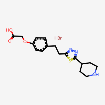 Br.O=C(O)COc1ccc(CCc2nnc(C3CCNCC3)s2)cc1